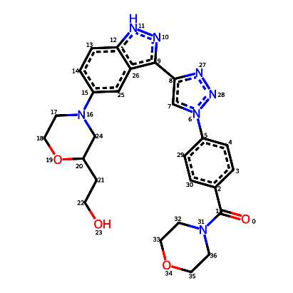 O=C(c1ccc(-n2cc(-c3n[nH]c4ccc(N5CCOC(CCO)C5)cc34)nn2)cc1)N1CCOCC1